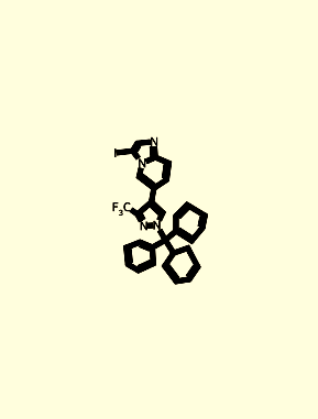 FC(F)(F)c1nn(C(c2ccccc2)(c2ccccc2)C2C=CC=CC2)cc1-c1ccc2ncc(I)n2c1